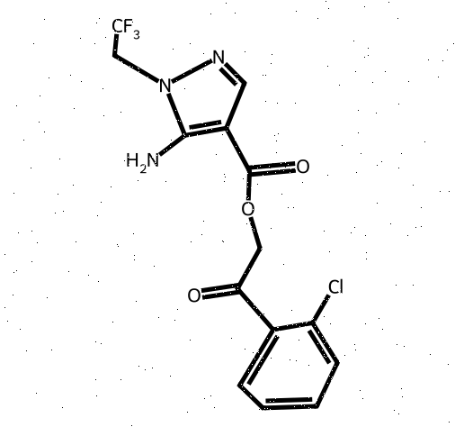 Nc1c(C(=O)OCC(=O)c2ccccc2Cl)cnn1CC(F)(F)F